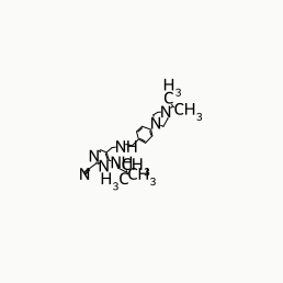 CC(C)N1CCN(c2ccc(CCNCc3cnc(C#N)nc3NCC(C)(C)C)cc2)CC1